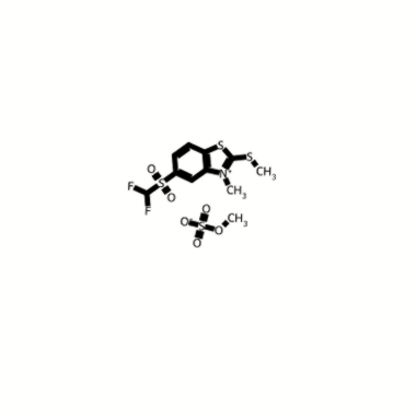 COS(=O)(=O)[O-].CSc1sc2ccc(S(=O)(=O)C(F)F)cc2[n+]1C